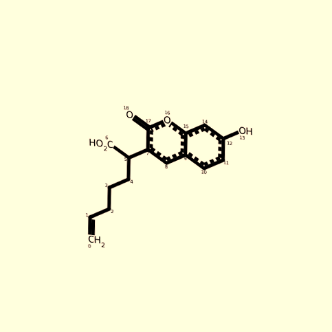 C=CCCCC(C(=O)O)c1cc2ccc(O)cc2oc1=O